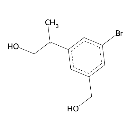 C[C](CO)c1cc(Br)cc(CO)c1